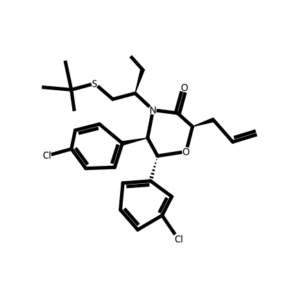 C=CC[C@H]1O[C@H](c2cccc(Cl)c2)[C@@H](c2ccc(Cl)cc2)N([C@H](CC)CSC(C)(C)C)C1=O